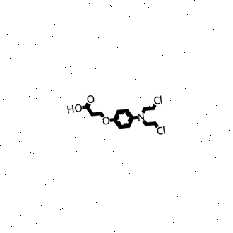 O=C(O)CCOc1ccc(N(CCCl)CCCl)cc1